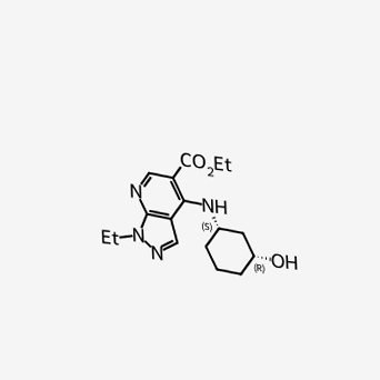 CCOC(=O)c1cnc2c(cnn2CC)c1N[C@H]1CCC[C@@H](O)C1